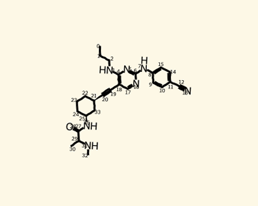 CCCNc1nc(Nc2ccc(C#N)cc2)ncc1C#C[C@@H]1CCC[C@H](NC(=O)C(C)NC)C1